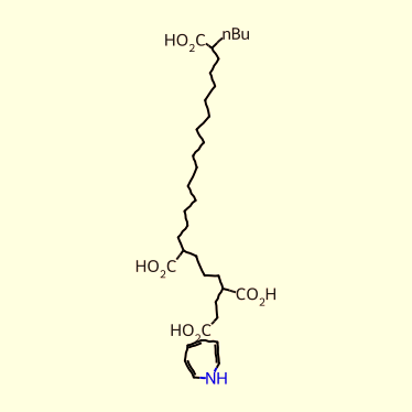 C1=CC=CNC=C1.CCCCC(CCCCCCCCCCCCCCC(CCCC(CCC(=O)O)C(=O)O)C(=O)O)C(=O)O